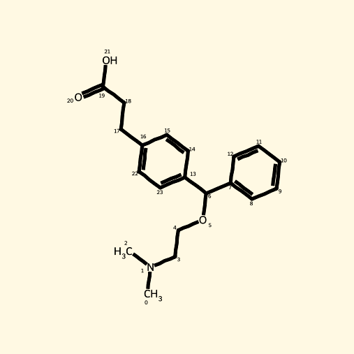 CN(C)CCOC(c1ccccc1)c1ccc(CCC(=O)O)cc1